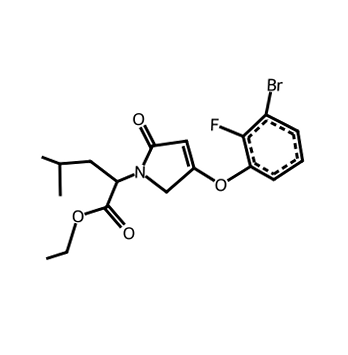 CCOC(=O)C(CC(C)C)N1CC(Oc2cccc(Br)c2F)=CC1=O